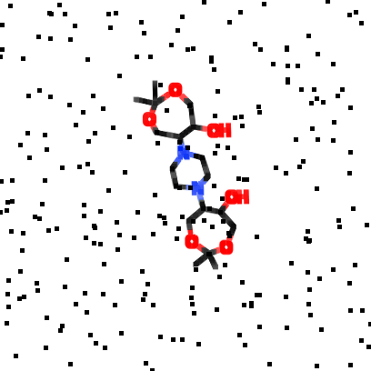 CC1(C)OCC(O)C(N2CCN(C3COC(C)(C)OCC3O)CC2)CO1